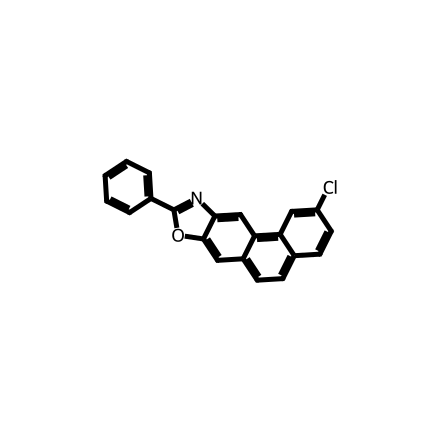 Clc1ccc2ccc3cc4oc(-c5ccccc5)nc4cc3c2c1